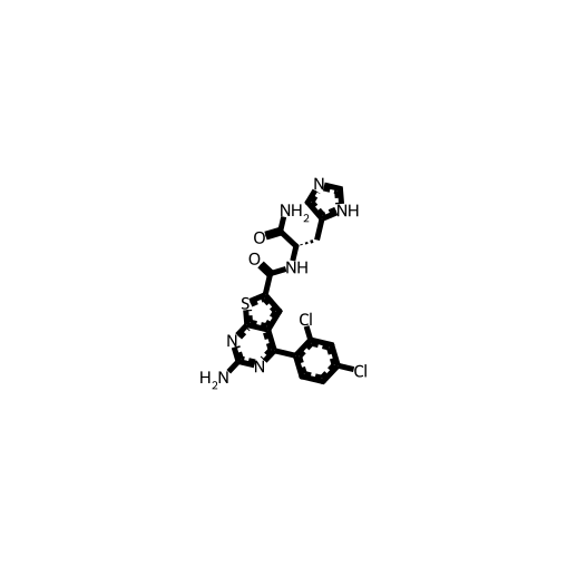 NC(=O)[C@H](Cc1cnc[nH]1)NC(=O)c1cc2c(-c3ccc(Cl)cc3Cl)nc(N)nc2s1